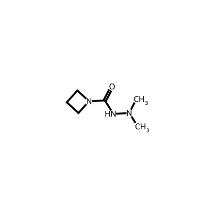 CN(C)NC(=O)N1CCC1